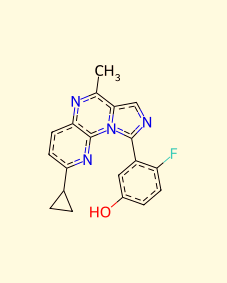 Cc1nc2ccc(C3CC3)nc2n2c(-c3cc(O)ccc3F)ncc12